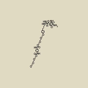 COCCOCCOCCOC(=O)Nc1ccc(NC(=O)OCCOCCOCCOc2ccc(CCCCNC(=N)NC(=O)c3nc(Cl)c(N)nc3N)cc2)cc1